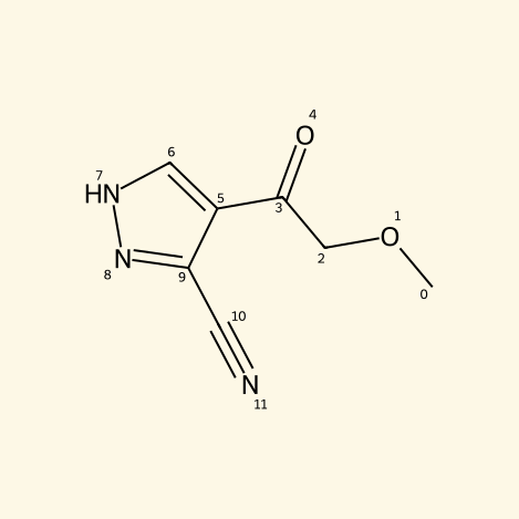 COCC(=O)c1c[nH]nc1C#N